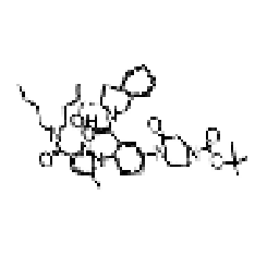 CCCCN(CCCC)C(=O)c1cc(C)n(-c2ccc(N3CCN(C(=O)OC(C)(C)C)CC3=O)cc2C(=O)N2Cc3ccccc3C[C@H]2CO)n1